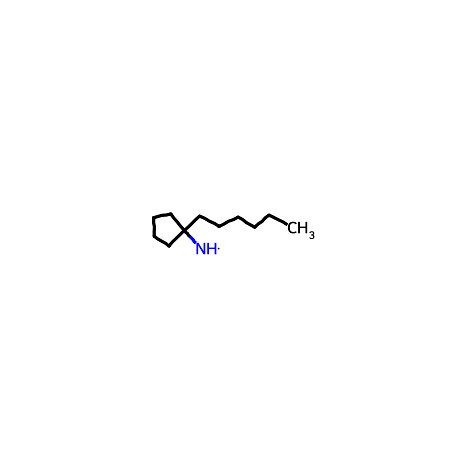 CCCCCCC1([NH])CCCC1